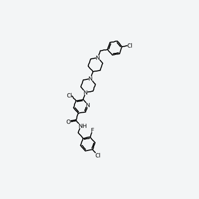 O=C(NCc1ccc(Cl)cc1F)c1cnc(N2CCN(C3CCN(Cc4ccc(Cl)cc4)CC3)CC2)c(Cl)c1